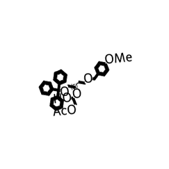 COc1ccc(COCC[C@@H](COC(c2ccccc2)(c2ccccc2)c2ccccc2)OC(O)COC(C)=O)cc1